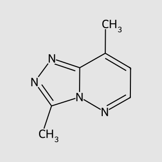 Cc1ccnn2c(C)nnc12